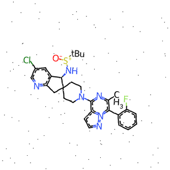 Cc1nc(N2CCC3(CC2)Cc2ncc(Cl)cc2[C@H]3N[S+]([O-])C(C)(C)C)c2ccnn2c1-c1ccccc1F